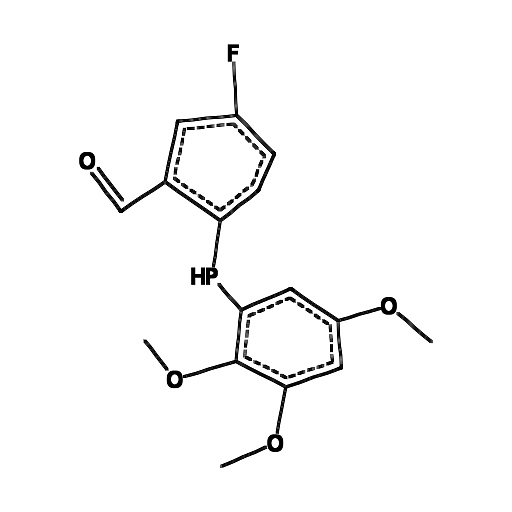 COc1cc(OC)c(OC)c(Pc2ccc(F)cc2C=O)c1